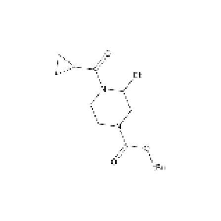 CCC1CN(C(=O)OC(C)(C)C)CCN1C(=O)C1CC1